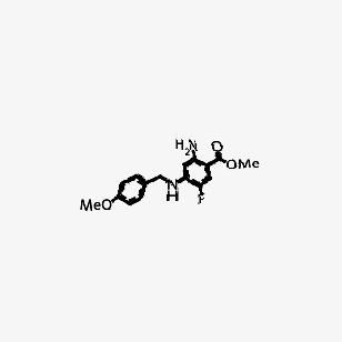 COC(=O)c1cc(F)c(NCc2ccc(OC)cc2)cc1N